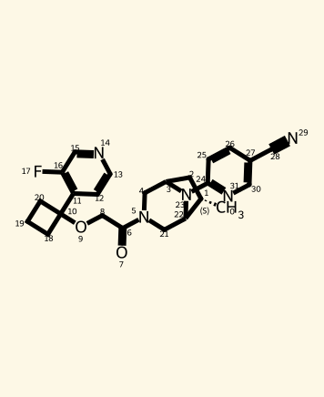 C[C@H]1CC2CN(C(=O)COC3(c4ccncc4F)CCC3)CC1N2c1ccc(C#N)cn1